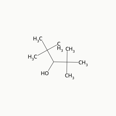 CC(C)(C)C(O)C(C)(C)C